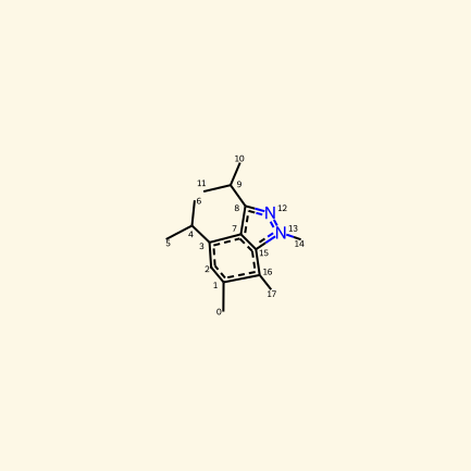 Cc1cc(C(C)C)c2c(C(C)C)nn(C)c2c1C